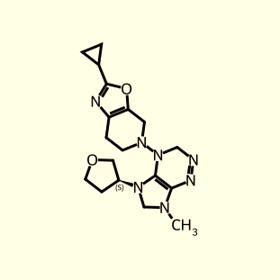 CN1CN([C@H]2CCOC2)C2=C1N=NCN2N1CCc2nc(C3CC3)oc2C1